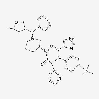 CC1CC(C(c2ccccc2)N2CCCC(NC(=O)C(c3cccnc3)N(C(=O)c3c[nH]cn3)c3ccc(C(C)(C)C)cc3)C2)CO1